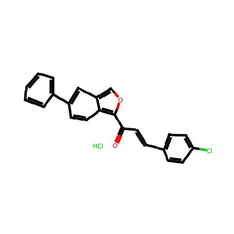 Cl.O=C(C=Cc1ccc(Cl)cc1)c1occ2cc(-c3ccccc3)ccc12